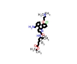 CC(C)OC(=O)CCC=CC(NC(=O)c1ccc(-c2ccccc2CN)c(-c2ccc(Cl)c(OCCCN(C)C)c2)n1)C(C)(C)C